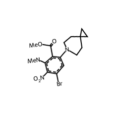 CNc1c(C(=O)OC)c(N2CCC3(CC2)CC3)cc(Br)c1[N+](=O)[O-]